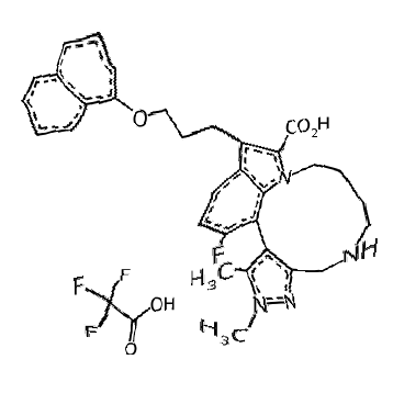 Cc1c2c(nn1C)CNCCCCn1c(C(=O)O)c(CCCOc3cccc4ccccc34)c3ccc(F)c-2c31.O=C(O)C(F)(F)F